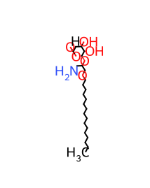 CCCCCCCCCCCCCCCCOCC(CN)O[C@H]1OC2O[C@@H]2C(O)[C@@H]1O